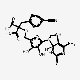 N#Cc1ccc(CC(OCc2oc(N3CNC4=C(N)N=C(Cl)N[C@@H]43)c(O)c2O)(C(=O)O)C(=O)O)cc1